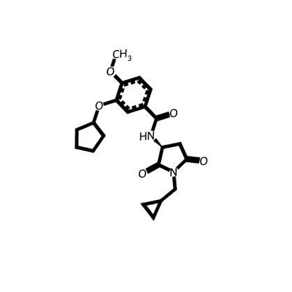 COc1ccc(C(=O)N[C@H]2CC(=O)N(CC3CC3)C2=O)cc1OC1CCCC1